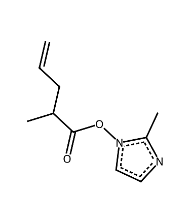 C=CCC(C)C(=O)On1ccnc1C